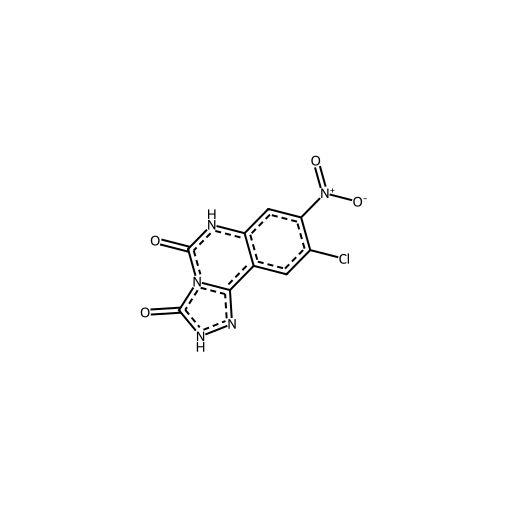 O=c1[nH]nc2c3cc(Cl)c([N+](=O)[O-])cc3[nH]c(=O)n12